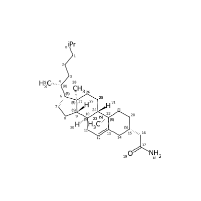 CC(C)CCC[C@@H](C)[C@H]1CC[C@H]2[C@@H]3CC=C4C[C@@H](CC(N)=O)CC[C@]4(C)[C@H]3CC[C@]12C